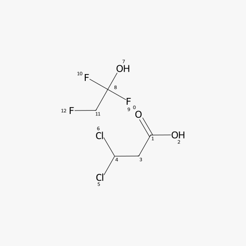 O=C(O)CC(Cl)Cl.OC(F)(F)CF